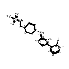 CC(C)S(=O)(=O)NC[C@H]1CC[C@H](Nc2nc(-c3cccnc3F)cs2)CC1